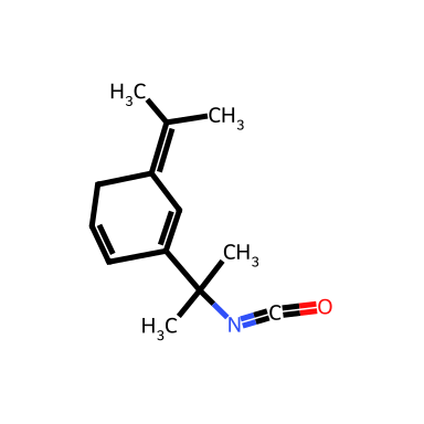 CC(C)=C1C=C(C(C)(C)N=C=O)C=CC1